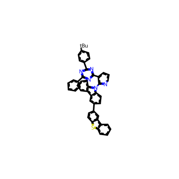 CC(C)(C)c1ccc(-c2nc(-c3ccccc3)nc(-c3cccnc3-n3c4ccccc4c4cc(-c5ccc6sc7ccccc7c6c5)ccc43)n2)cc1